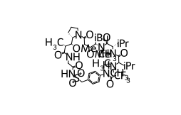 CC[C@H](C)[C@@H]([C@@H](CC(=O)N1CCC[C@H]1[C@H](OC)[C@@H](C)C(=O)NCC(=O)NS(=O)(=O)Cc1ccc(NC(=O)C(F)(F)F)cc1)OC)N(C)C(=O)[C@@H](NC(=O)C(C(C)C)N(C)C)C(C)C